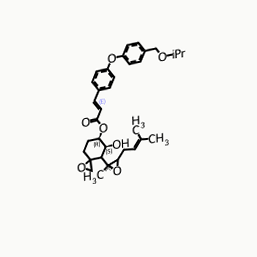 CC(C)=CCC1O[C@]1(C)C1[C@H](O)[C@H](OC(=O)/C=C/c2ccc(Oc3ccc(COC(C)C)cc3)cc2)CCC12CO2